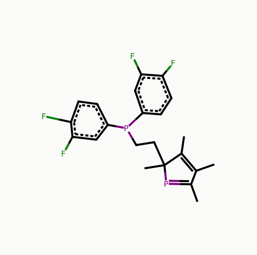 CC1=PC(C)(CCP(c2ccc(F)c(F)c2)c2ccc(F)c(F)c2)C(C)=C1C